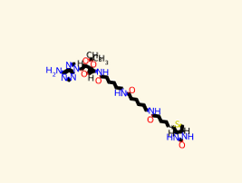 CC1(C)O[C@H]2[C@H](n3cnc4c(N)ncnc43)O[C@@H]3C(NC(=O)CCCCCNC(=O)CCCCCNC(=O)CCCC[C@@H]4SC[C@@H]5NC(=O)N[C@@H]54)[C@@]32O1